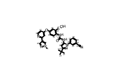 Cl.Cn1cc(-c2cc(Oc3ccc(NC(=O)Nc4cc(C(C)(C)C)nn4-c4cccc(C#N)c4)c(F)c3)ccn2)cn1